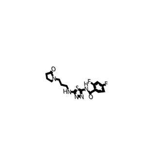 O=C(Nc1nnc(NCCCN2CCCC2=O)s1)c1ccc(F)cc1F